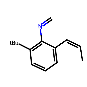 C=Nc1c(/C=C\C)cccc1C(C)(C)C